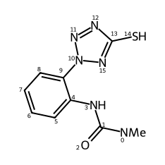 CNC(=O)Nc1ccccc1-n1nnc(S)n1